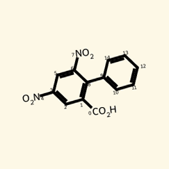 O=C(O)c1cc([N+](=O)[O-])cc([N+](=O)[O-])c1-c1ccccc1